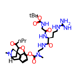 CCCC(=O)C1Oc2c(OC(=O)N(C)CCNC(=O)[C@H](CCCNC(=N)N)NC(=O)CNC(=O)OC(C)(C)C)ccc3c2[C@]12C[C@@H](C3)N(C)C2